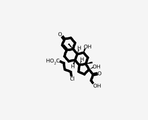 C[C@]12CCC(=O)C=C1CC[C@@H]1[C@@H]2[C@@H](O)C[C@@]2(C)[C@H]1CC[C@]2(O)C(=O)CO.O=C(O)CCCCl